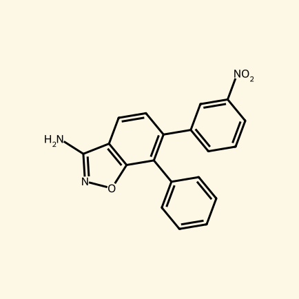 Nc1noc2c(-c3ccccc3)c(-c3cccc([N+](=O)[O-])c3)ccc12